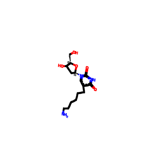 NCCCCCCc1cn([C@@H]2CC(O)[C@H](CO)O2)c(=O)[nH]c1=O